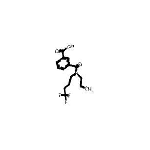 CCCN(CCCC(F)(F)F)C(=O)c1cccc(C(=O)O)c1